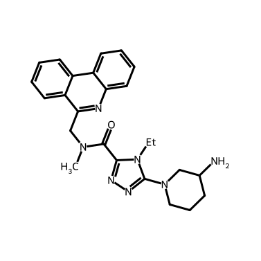 CCn1c(C(=O)N(C)Cc2nc3ccccc3c3ccccc23)nnc1N1CCCC(N)C1